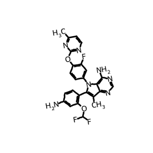 Cc1ccnc(Oc2ccc(-n3c(-c4ccc(N)cc4OC(F)F)c(C)c4ncnc(N)c43)cc2F)n1